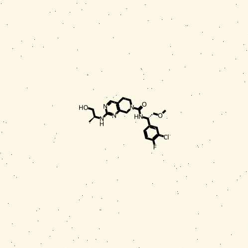 COC[C@@H](NC(=O)N1CCc2cnc(N[C@@H](C)CO)nc2C1)c1ccc(F)c(Cl)c1